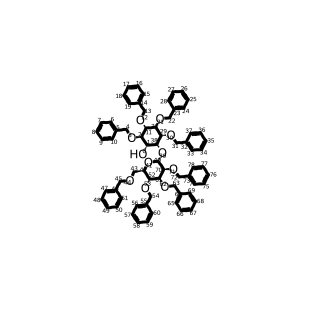 O[C@@H]1[C@@H](OCc2ccccc2)[C@H](OCc2ccccc2)[C@@H](OCc2ccccc2)[C@H](OCc2ccccc2)[C@@H]1O[C@H]1O[C@H](COCc2ccccc2)[C@@H](OCc2ccccc2)[C@H](OCc2ccccc2)[C@@H]1OCc1ccccc1